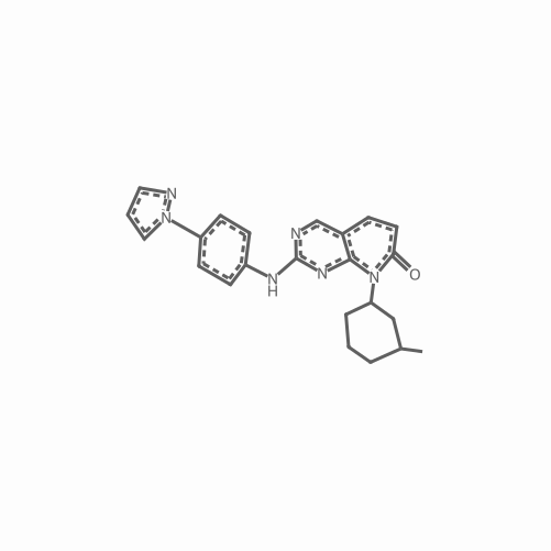 CC1CCCC(n2c(=O)ccc3cnc(Nc4ccc(-n5cccn5)cc4)nc32)C1